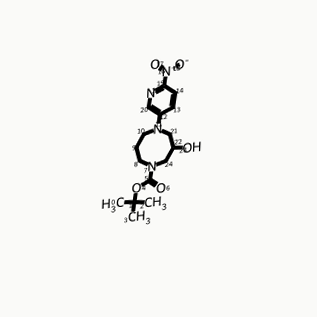 CC(C)(C)OC(=O)N1CCCN(c2ccc([N+](=O)[O-])nc2)CC(O)C1